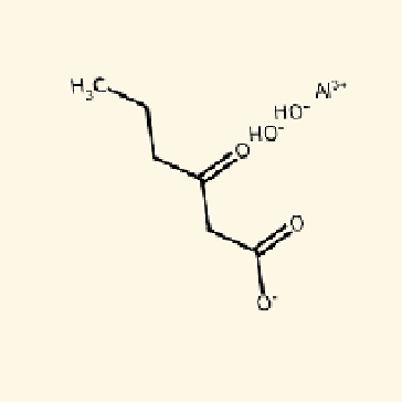 CCCC(=O)CC(=O)[O-].[Al+3].[OH-].[OH-]